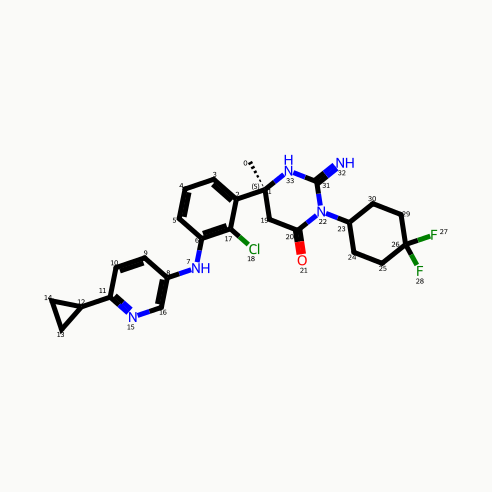 C[C@@]1(c2cccc(Nc3ccc(C4CC4)nc3)c2Cl)CC(=O)N(C2CCC(F)(F)CC2)C(=N)N1